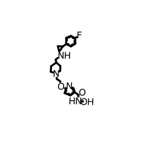 O=C(NO)c1ccc(OCCN2CCC(CNC3CC3c3ccc(F)cc3)CC2)nc1